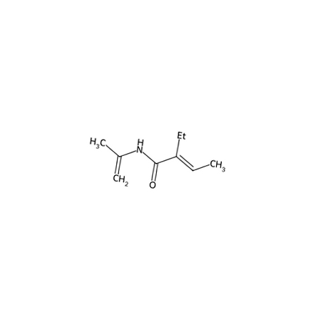 C=C(C)NC(=O)/C(=C/C)CC